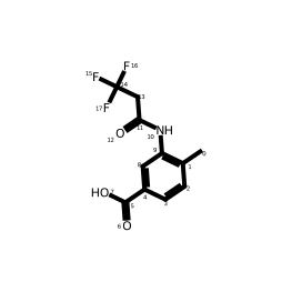 Cc1ccc(C(=O)O)cc1NC(=O)CC(F)(F)F